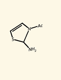 CC(=O)N1C=CSC1N